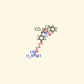 N=C(N)NOCCCOc1ccc(C[C@H](NS(=O)(=O)c2ccccc2Cl)C(=O)O)cc1